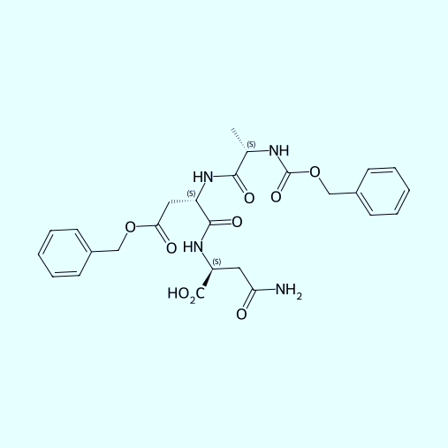 C[C@H](NC(=O)OCc1ccccc1)C(=O)N[C@@H](CC(=O)OCc1ccccc1)C(=O)N[C@@H](CC(N)=O)C(=O)O